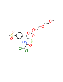 COCCOCCOC(=O)OC(c1ccc(S(C)(=O)=O)cc1)C(CF)NC(=O)C(Cl)Cl